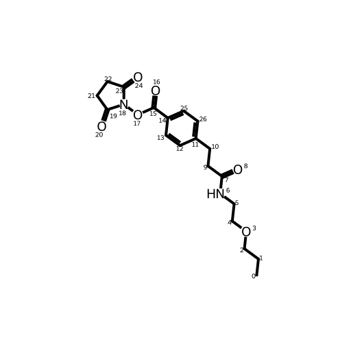 CCCOCCNC(=O)CCc1ccc(C(=O)ON2C(=O)CCC2=O)cc1